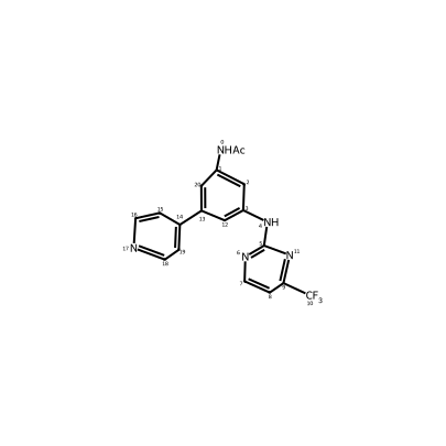 CC(=O)Nc1cc(Nc2nccc(C(F)(F)F)n2)cc(-c2ccncc2)c1